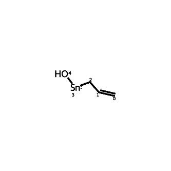 C=C[CH2][Sn][OH]